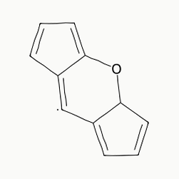 [C]1=C2C=CC=C2OC2C=CC=C12